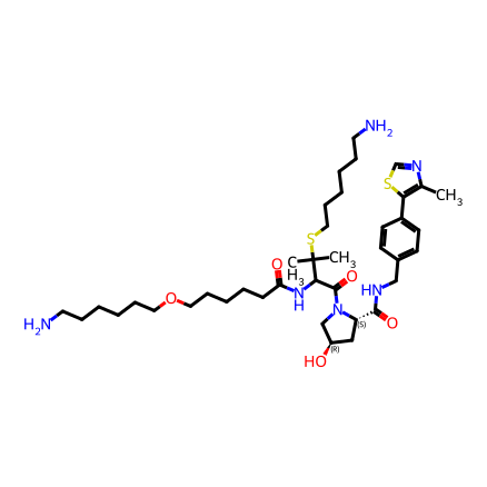 Cc1ncsc1-c1ccc(CNC(=O)[C@@H]2C[C@@H](O)CN2C(=O)C(NC(=O)CCCCCOCCCCCCN)C(C)(C)SCCCCCCN)cc1